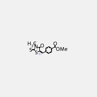 COC(=O)c1ccc(/C=C2/SC(=S)N(C)C2=O)cc1